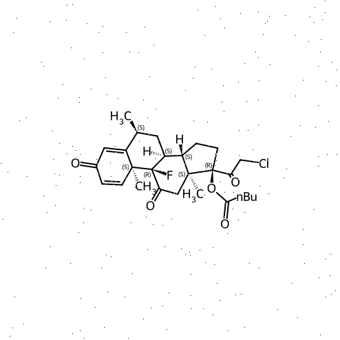 CCCCC(=O)O[C@]1(C(=O)CCl)CC[C@H]2[C@@H]3C[C@H](C)C4=CC(=O)C=C[C@]4(C)[C@@]3(F)C(=O)C[C@@]21C